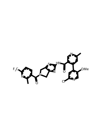 COc1cnc(Cl)cc1-c1cc(C)ncc1C(=O)Nc1nc2c(s1)CN(C(=O)c1ccc(C(F)(F)F)nc1C)C2